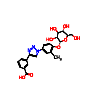 Cc1cc(-n2cc(-c3cccc(C(=O)O)c3)nn2)ccc1O[C@H]1O[C@H](CO)[C@@H](O)[C@H](O)[C@@H]1O